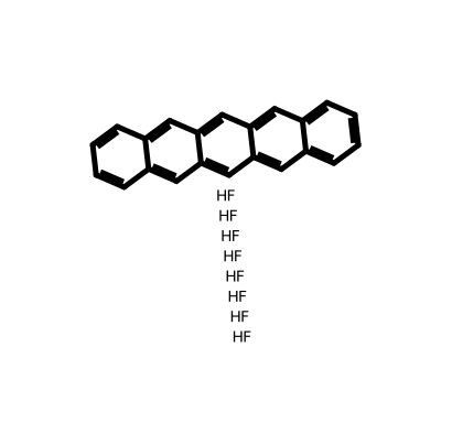 F.F.F.F.F.F.F.F.c1ccc2cc3cc4cc5ccccc5cc4cc3cc2c1